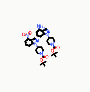 CC(C)(C)OC(=O)N1CCC(n2ncc3c(N)cccc32)CC1.CC(C)(C)OC(=O)N1CCC(n2ncc3c([N+](=O)[O-])cccc32)CC1